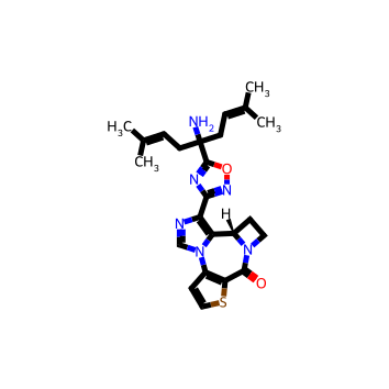 CC(C)=CCC(N)(CC=C(C)C)c1nc(-c2ncn3c2[C@@H]2CCN2C(=O)c2sccc2-3)no1